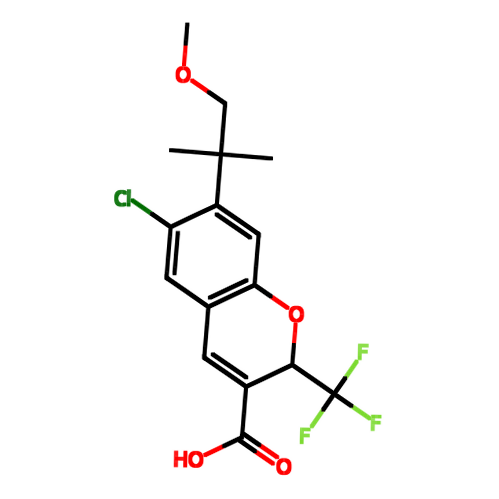 COCC(C)(C)c1cc2c(cc1Cl)C=C(C(=O)O)C(C(F)(F)F)O2